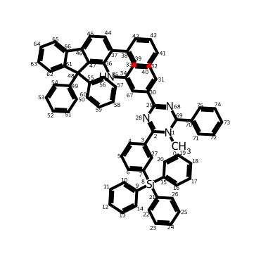 CN1C(c2cccc([Si](c3ccccc3)(c3ccccc3)c3ccccc3)c2)=NC(c2cccc(Nc3c(-c4ccccc4)ccc4c3C(c3ccccc3)(c3ccccc3)c3ccccc3-4)c2)=NC1c1ccccc1